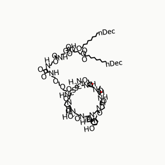 CCCCCCCCCCCCCCCCCC(=O)OCC(COP(=O)(O)OCCNC(=O)OCCNc1c(NCCOCCOCC(=O)N[C@H]2CSSC[C@@H](C(N)=O)N3C(=O)[C@H](CC3C)N3C(=O)[C@H](CC3C)NC(=O)[C@@H]3CCCN3C(=O)[C@H](Cc3ccc(O)cc3)NC(=O)[C@H]([C@@H](C)CC)NC(=O)[C@H](CO)NC(=O)[C@@H]3CCCN3C2=O)c(=O)c1=O)OC(=O)CCCCCCCCCCCCCCCCC